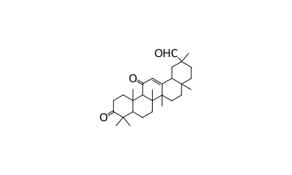 CC1(C=O)CCC2(C)CCC3(C)C(=CC(=O)C4C5(C)CCC(=O)C(C)(C)C5CCC43C)C2C1